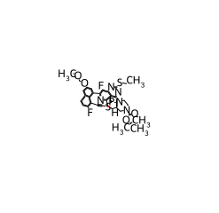 CCSc1nc2c3c(nc(-c4cc(OCOC)cc5ccc(F)c(C#CSP(I)I)c45)c(F)c3n1)CC[C@@H]1CN(C(=O)OC(C)(C)C)CCN21